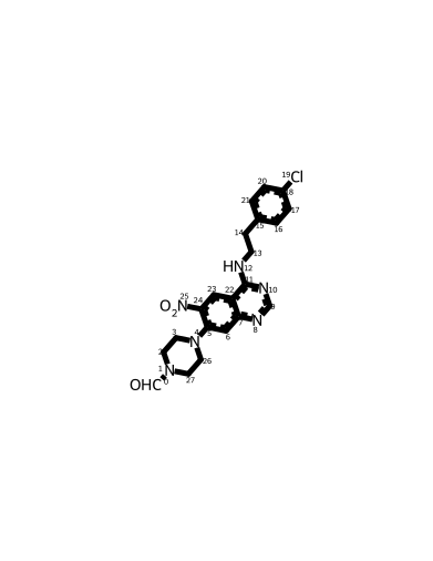 O=CN1CCN(c2cc3ncnc(NCCc4ccc(Cl)cc4)c3cc2[N+](=O)[O-])CC1